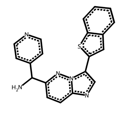 NC(c1ccncc1)c1ccc2ncc(-c3cc4ccccc4s3)n2n1